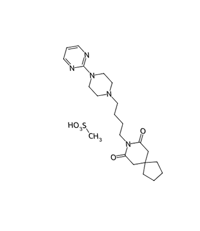 CS(=O)(=O)O.O=C1CC2(CCCC2)CC(=O)N1CCCCN1CCN(c2ncccn2)CC1